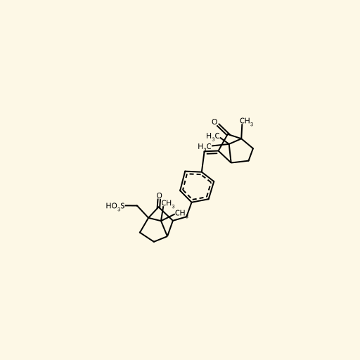 CC12CCC(/C(=C\c3ccc(CC4C(=O)C5(CS(=O)(=O)O)CCC4C5(C)C)cc3)C1=O)C2(C)C